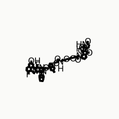 C#Cc1c(F)ccc2cc(O)cc(-c3ncc4c(N5CC6CCC(C5)N6)nc(OC[C@@]56CC[C@@H](COC(=O)NCCOCCOCC(=O)Nc7cccc8c7C(=O)N(C7CCC(=O)NC7=O)C8=O)N5CC(=C)C6)nc4c3F)c12